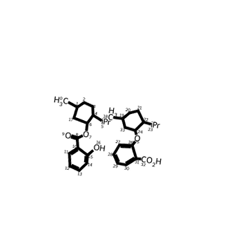 CC1CCC(C(C)C)C(OC(=O)c2ccccc2O)C1.CC1CCC(C(C)C)C(Oc2ccccc2C(=O)O)C1